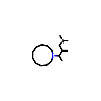 C=C(C[SiH](C)C)C(C)N1CCCCCCCCCC1